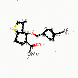 COC(=O)c1ccc2scc(C)c2c1OCc1ccc(C(F)(F)F)cc1